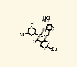 CC(C)CN(C(=O)c1cnc(C(C)(C)C)nc1NCc1ccco1)C1CNCC(C#N)C1.Cl.Cl